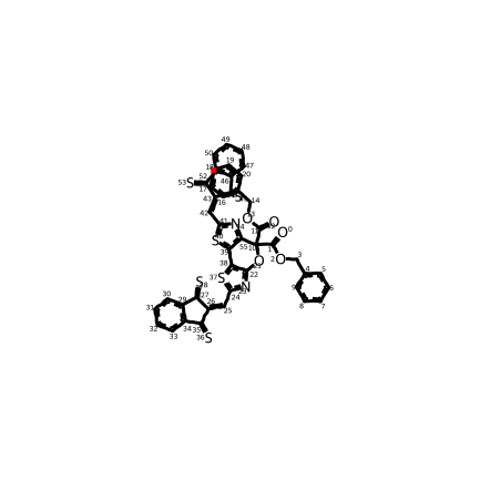 O=C(OCc1ccccc1)C1(C(=O)OCc2ccccc2)Oc2nc(C=C3C(=S)c4ccccc4C3=S)sc2-c2sc(C=C3C(=S)c4ccccc4C3=S)nc21